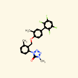 Cc1cc(-c2c(F)c(F)cc(F)c2F)ccc1OCc1c(C)cccc1-n1nnn(C)c1=O